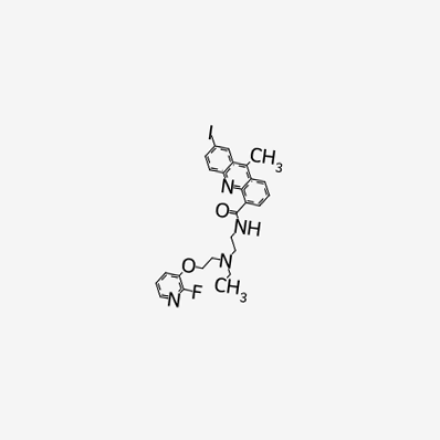 CCN(CCNC(=O)c1cccc2c(C)c3cc(I)ccc3nc12)CCOc1cccnc1F